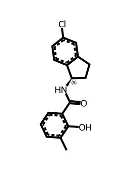 Cc1cccc(C(=O)N[C@@H]2CCc3cc(Cl)ccc32)c1O